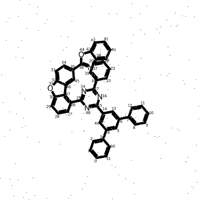 c1ccc(-c2cc(-c3ccccc3)cc(-c3nc(-c4ccccc4)nc(-c4cccc5oc6ccc(-c7nc8ccccc8o7)cc6c45)n3)c2)cc1